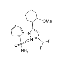 COC1CCCCC1c1cc(C(F)F)nn1-c1ccccc1S(N)(=O)=O